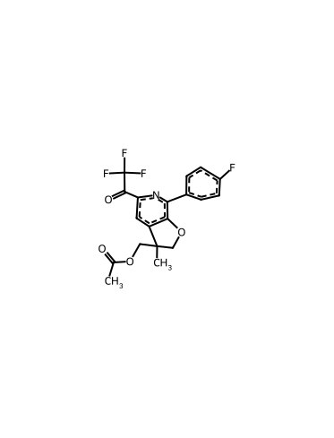 CC(=O)OCC1(C)COc2c1cc(C(=O)C(F)(F)F)nc2-c1ccc(F)cc1